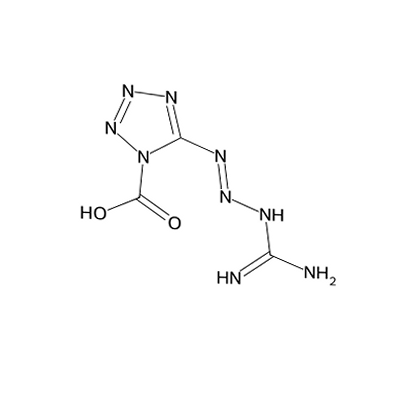 N=C(N)NN=Nc1nnnn1C(=O)O